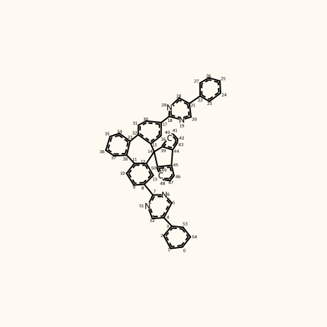 c1ccc(-c2cnc(-c3ccc4c(c3)C3(c5cc(-c6ncc(-c7ccccc7)cn6)ccc5-c5ccccc5-4)c4ccccc4-c4ccccc43)nc2)cc1